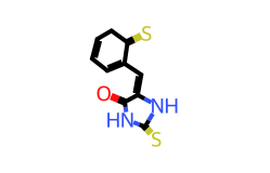 O=C1NC(=S)NC1=CC1=CC=CCC1=S